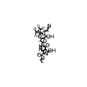 CCOC(=O)c1nn(O)c2c(=O)n(C3CC(OP(OCCC#N)N(C(C)C)C(C)C)C(CO)O3)nnc12